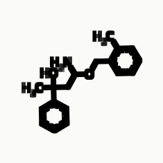 Cc1ccccc1COC(N)CC(C)(O)c1ccccc1